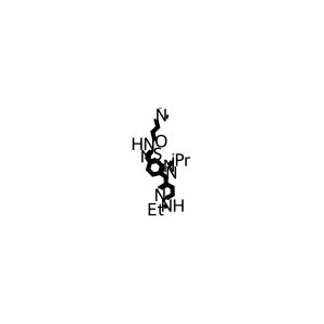 CCNC1=NC=C(c2nn(C(C)C)c3c2CCc2nc(NC(=O)CCCN(C)C)sc2-3)CC1